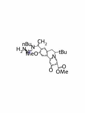 C=C(c1cc2c(cc1OC)-c1cc(=O)c(C(=O)OC)cn1C(C(C)(C)C)C2)N(/C=N\N)CCCC